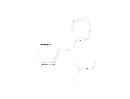 CCC(=O)O.c1ccc(Pc2ccccc2)cc1